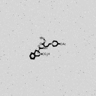 CC(=O)OC1CCN(CCC(NC(=O)[C@@H]2Cc3ccccc3CN2C(=O)O)C(=O)OC(C)(C)C)CC1